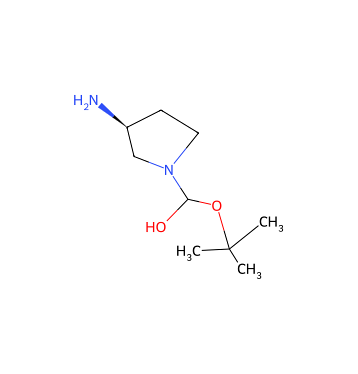 CC(C)(C)OC(O)N1CC[C@H](N)C1